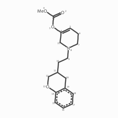 COC(=O)OC1=CCCN(CCC2COc3ccccc3C2)C1